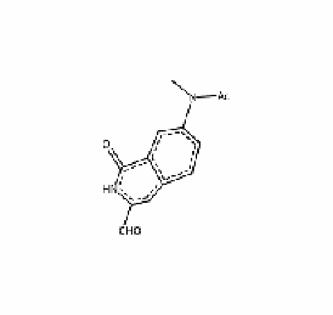 CC(=O)N(C)c1ccc2cc(C=O)[nH]c(=O)c2c1